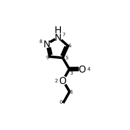 CCOC(=O)c1[c][nH]nc1